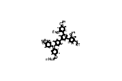 CCCCCCOc1ccc(N(c2ccc(OCCCCCC)cc2)c2ccc(-c3cc(-c4ccc(OCC)cc4OCC)nc(-c4ccc(OCC)cc4OCC)c3)cc2)cc1